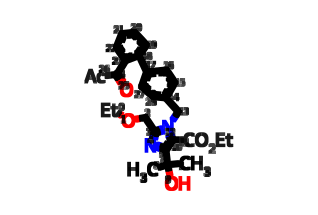 CCOCc1nc(C(C)(C)O)c(C(=O)OCC)n1Cc1ccc(-c2ccccc2C(=O)C(C)=O)cc1